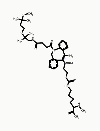 CNC(CCCCNC(=O)OCCN(N)/C1=C(\N)c2ccccc2N(C(=O)CCC(=O)NCC(C)(C)OCCC(C)(C)OC)Cc2ccccc21)C(C)=O